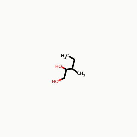 CCC(C)C(O)CO